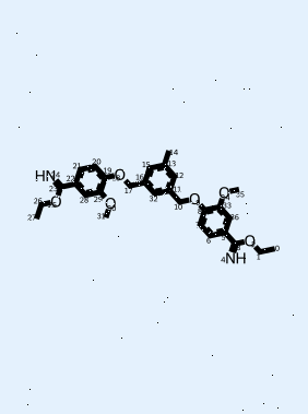 CCOC(=N)c1ccc(OCc2cc(C)cc(COc3ccc(C(=N)OCC)cc3OC)c2)c(OC)c1